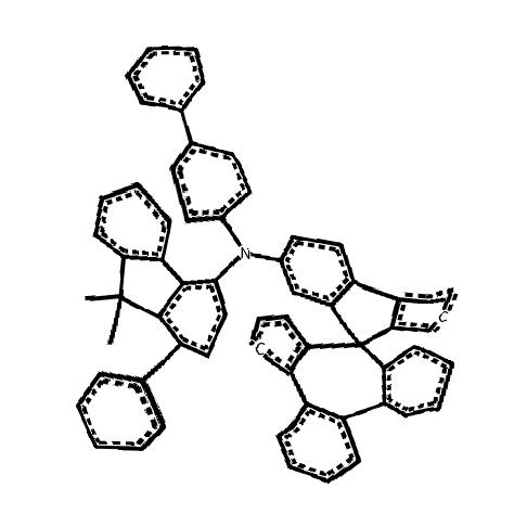 CC1(C)c2ccccc2-c2c(N(c3ccc(-c4ccccc4)cc3)c3ccc4c(c3)C3(c5ccccc5-c5ccccc5-c5ccccc53)c3ccccc3-4)ccc(-c3ccccc3)c21